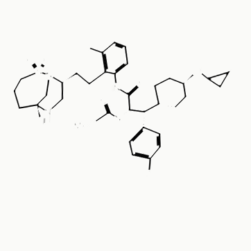 COC(=O)N[C@H](C(=O)Nc1cccc(F)c1CC[C@H]1CN[C@@H]2CCCS(=O)(=O)N1C2)[C@@H](c1ccc(Cl)cc1)[C@H]1CC[C@H](OC2CC2)CC1